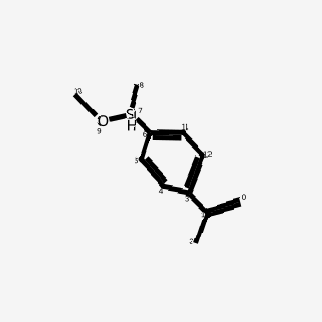 C=C(C)c1ccc([SiH](C)OC)cc1